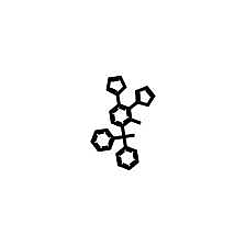 Cc1c(C(C)(c2ccccc2)c2ccccc2)ccc(C2=CC=CC2)c1C1=CC=CC1